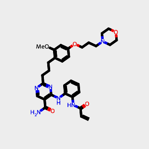 C=CC(=O)Nc1ccccc1Nc1nc(CCCc2ccc(OCCCN3CCOCC3)cc2OC)ncc1C(N)=O